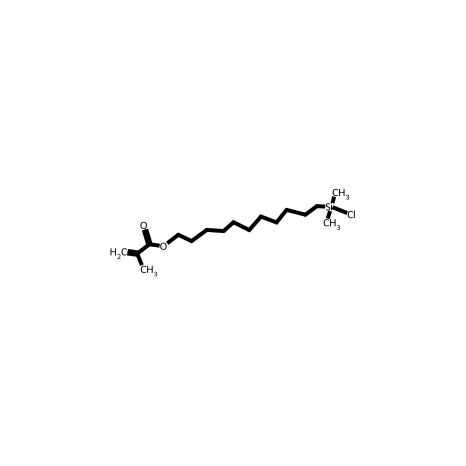 C=C(C)C(=O)OCCCCCCCCCCC[Si](C)(C)Cl